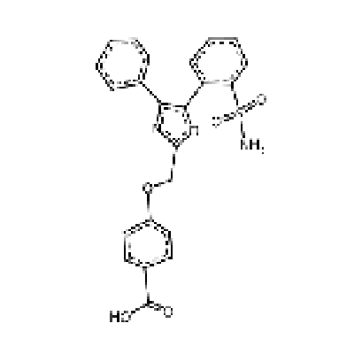 NS(=O)(=O)c1ccccc1-c1oc(COc2ccc(C(=O)O)cc2)nc1-c1ccccc1